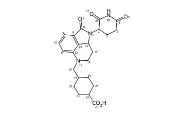 O=C1CCC(N2C(=O)c3cccc4c3C2CCN4CC2CCC(C(=O)O)CC2)C(=O)N1